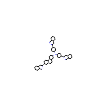 c1ccc2cc(-c3ccc(N(c4ccc(-c5cc6ccccc6cn5)cc4)c4ccc5c(ccc6cc(-c7cc8ccccc8cn7)ccc65)c4)cc3)ncc2c1